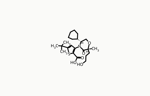 CC(C)(C)c1cc(N2C(=O)[C@@](C)(CCCO)OC[C@H]2C2CCCCC2)c(C(=O)O)s1